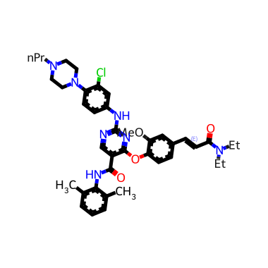 CCCN1CCN(c2ccc(Nc3ncc(C(=O)Nc4c(C)cccc4C)c(Oc4ccc(/C=C/C(=O)N(CC)CC)cc4OC)n3)cc2Cl)CC1